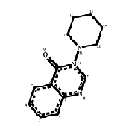 O=c1c2ccccc2ncn1N1CCCCC1